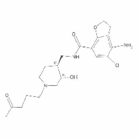 CC(=O)CCCN1CC[C@@H](CNC(=O)c2cc(Cl)c(N)c3c2OCC3)[C@H](O)C1